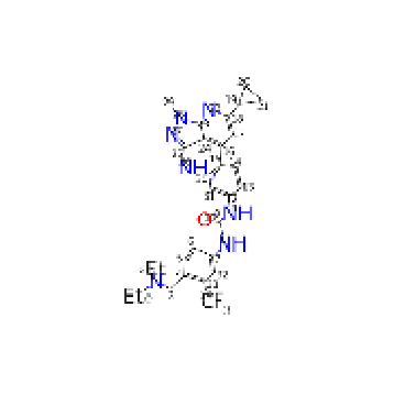 CCN(CC)Cc1ccc(NC(=O)Nc2ccc(-c3cc(C4CC4)nc4c3c(N)nn4C)cc2)cc1C(F)(F)F